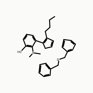 CCCCC1=C(c2cccc(O)c2N(C)C)CC=C1.c1ccc([CH2][Zr][CH2]c2ccccc2)cc1